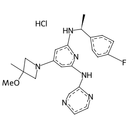 COC1(C)CN(c2cc(Nc3cnccn3)nc(N[C@@H](C)c3ccc(F)cc3)c2)C1.Cl